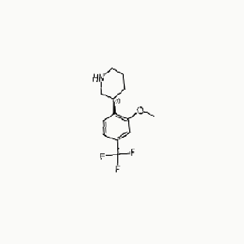 COc1cc(C(F)(F)F)ccc1[C@@H]1CCCNC1